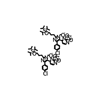 COCn1c(CCCO[Si](C(C)C)(C(C)C)C(C)C)nc(-c2ccc(Cl)cc2)c1-c1ccnc(S(C)(=O)=O)n1.COCn1c(CCCO[Si](C(C)C)(C(C)C)C(C)C)nc(-c2ccc(Cl)cc2)c1-c1ccnc(S(C)(=O)=O)n1